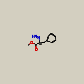 COC(=O)[C@H](Cc1ccccc1)N=N